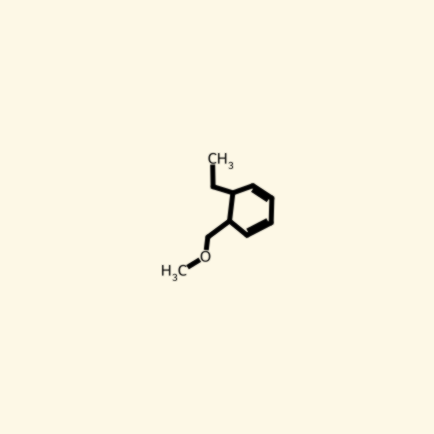 CCC1C=CC=CC1COC